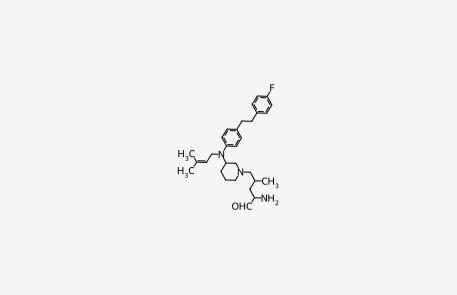 CC(C)=CCN(c1ccc(CCc2ccc(F)cc2)cc1)C1CCCN(CC(C)CC(N)C=O)C1